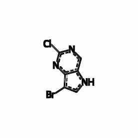 Clc1ncc2[nH]cc(Br)c2n1